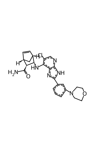 NC(=O)[C@@H]1[C@H](Nc2c(Cl)cnc3[nH]c(-c4cccc(N5CCOCC5)c4)nc23)[C@H]2C=C[C@@H]1C2